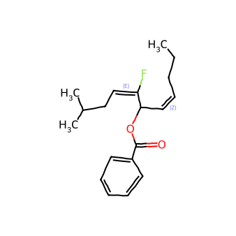 CCC/C=C\C(OC(=O)c1ccccc1)/C(F)=C\CC(C)C